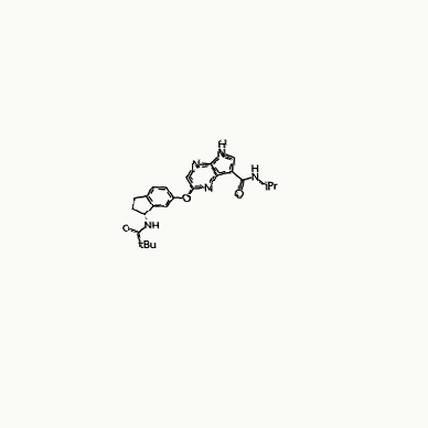 CC(C)NC(=O)c1c[nH]c2ncc(Oc3ccc4c(c3)[C@H](NC(=O)C(C)(C)C)CC4)nc12